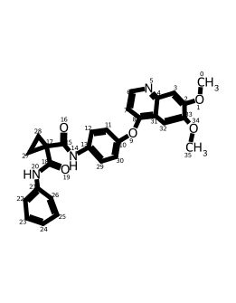 COc1cc2nccc(Oc3ccc(NC(=O)C4(C(=O)Nc5ccccc5)CC4)cc3)c2cc1OC